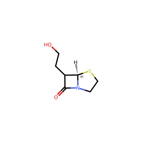 O=C1C(CCO)[C@H]2SCCN12